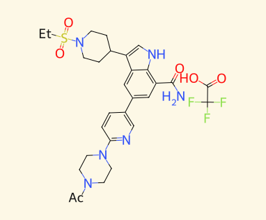 CCS(=O)(=O)N1CCC(c2c[nH]c3c(C(N)=O)cc(-c4ccc(N5CCN(C(C)=O)CC5)nc4)cc23)CC1.O=C(O)C(F)(F)F